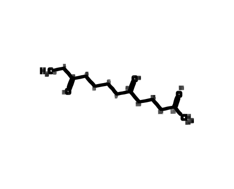 CCC(=O)CCCCC(=O)CCCC(C)=O